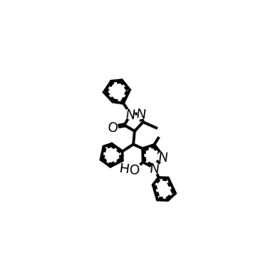 CC1=NN(c2ccccc2)C(=O)C1C(c1ccccc1)c1c(C)nn(-c2ccccc2)c1O